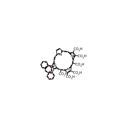 O=C(O)C1=C(C(=O)O)c2nc1c(C(=O)O)c1[nH]c(cc3nc(cc4c(-c5ccccc5)c(-c5ccccc5)c(c2C(=O)O)n4-c2ccccc2)C=C3)c(C(=O)O)c1C(=O)O